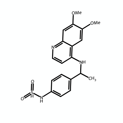 COc1cc2nccc(NC(C)c3ccc(N[SH](=O)=O)cc3)c2cc1OC